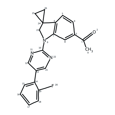 CC(=O)c1ccc2c(c1)N(c1ncc(-c3ccccc3F)cn1)CC21CC1